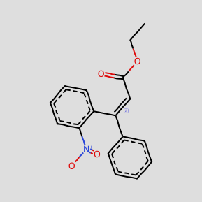 CCOC(=O)/C=C(/c1ccccc1)c1ccccc1[N+](=O)[O-]